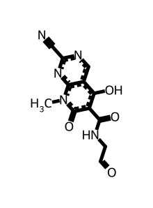 Cn1c(=O)c(C(=O)NCC=O)c(O)c2cnc(C#N)nc21